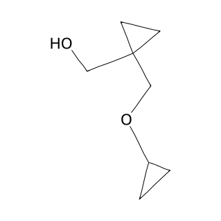 OCC1(COC2CC2)CC1